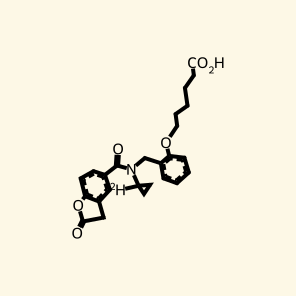 [2H]C1(N(Cc2ccccc2OCCCCCC(=O)O)C(=O)c2ccc3c(c2)CC(=O)O3)CC1